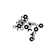 CC(COc1ccc(Oc2ccccc2)cc1)Oc1ccccn1.CCC(C)c1ccccc1OC(=O)NC.O=C(NC(=O)c1c(F)cccc1F)Nc1cc(Cl)c(F)c(Cl)c1F